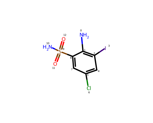 Nc1c(I)cc(Cl)cc1S(N)(=O)=O